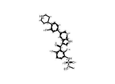 CCN(C)S(=O)(=O)Nc1ccc(F)c(C(=O)c2c[nH]c3ncc(-c4ccc(C5CCNCC5)c(F)c4)cc23)c1F